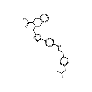 CC(C)Cc1ccc(CCNc2ccc(-c3csc(CN4Cc5ccccc5CC4C(=O)O)n3)cc2)cc1